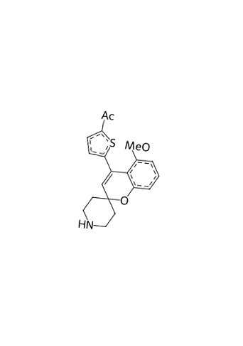 COc1cccc2c1C(c1ccc(C(C)=O)s1)=CC1(CCNCC1)O2